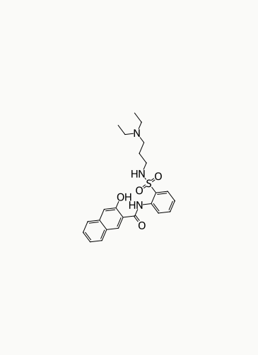 CCN(CC)CCCNS(=O)(=O)c1ccccc1NC(=O)c1cc2ccccc2cc1O